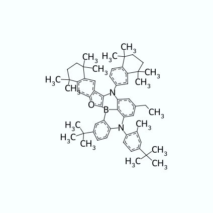 CCc1cc2c3c(c1)N(c1ccc4c(c1)C(C)(C)CCC4(C)C)c1c(oc4cc5c(cc14)C(C)(C)CCC5(C)C)B3c1cc(C(C)(C)C)ccc1N2c1ccc(C(C)(C)C)cc1C